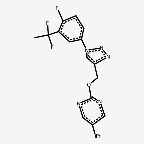 CC(C)c1cnc(OCc2cn(-c3ccc(F)c(C(C)(F)F)c3)nn2)nc1